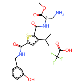 COC(=O)[C@H](CN)NC(=O)c1sc(C(=O)NCc2cccc(O)c2)cc1C(C)C.O=C(O)C(F)(F)F